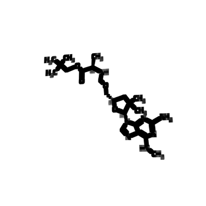 CNc1nc(N)nc2c1ncn2[C@@H]1O[C@H](COCN[C@H](C)C(=O)OCC(C)(C)C)CC1(C)C